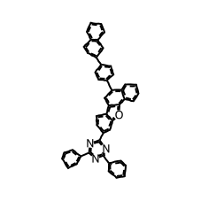 c1ccc(-c2nc(-c3ccccc3)nc(-c3ccc4c(c3)oc3c5ccccc5c(-c5ccc(-c6ccc7ccccc7c6)cc5)cc43)n2)cc1